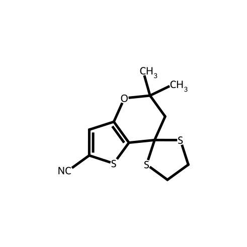 CC1(C)CC2(SCCS2)c2sc(C#N)cc2O1